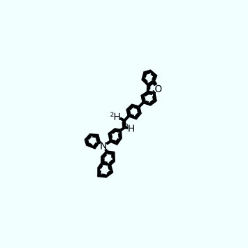 [2H]/C(=C(/[2H])c1ccc(N(c2ccccc2)c2ccc3ccccc3c2)cc1)c1ccc(-c2ccc3oc4ccccc4c3c2)cc1